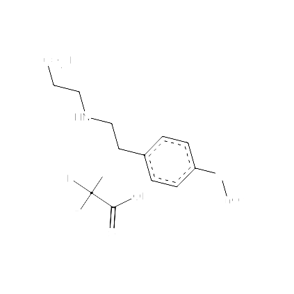 CCCCCCCCOc1ccc(CCNCCC(=O)O)cc1.O=C(O)C(F)(F)F